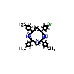 Cc1ccc(-c2c3nc(c(-c4ccc(C)cc4)c4ccc([nH]4)c(-c4ccc(Br)cc4)c4nc(c(-c5ccc(C)cc5)c5ccc2[nH]5)C=C4)C=C3)cc1.[Zn]